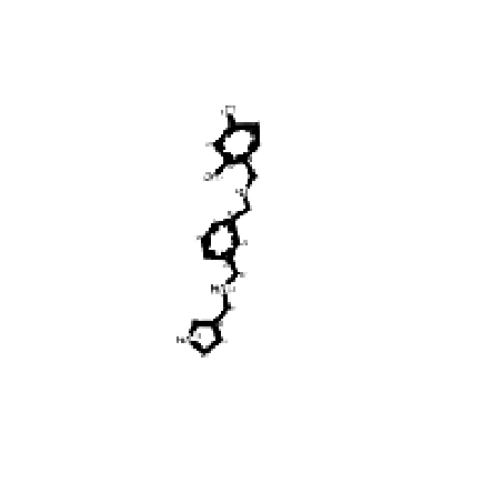 Clc1ccc(COCc2cccc(CNCC3CCNC3)c2)c(Br)c1